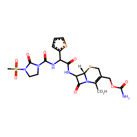 CS(=O)(=O)N1CCN(C(=O)NC(C(=O)NC2C(=O)N3C(C(=O)O)=C(COC(N)=O)CS[C@@H]23)c2cccs2)C1=O